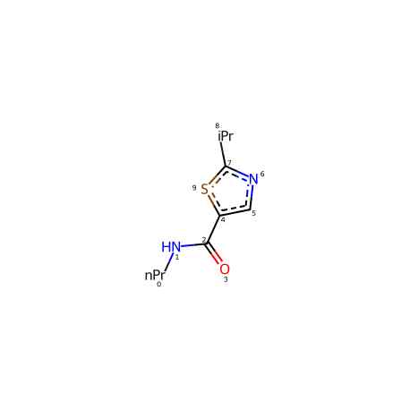 CCCNC(=O)c1cnc(C(C)C)s1